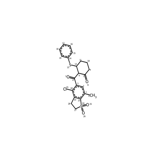 Cc1cc(C(=O)C2C(=O)CCCC2Sc2ccccc2)c(Cl)c2c1S(=O)(=O)CC2